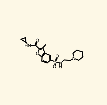 Cc1c(C(=O)NC2CC2)oc2ccc(S(=O)(=O)NCCN3CCCCC3)cc12